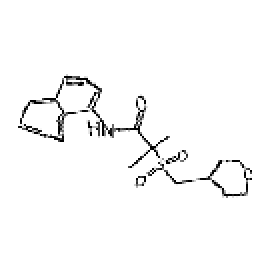 CC(C)(C(=O)Nc1cccc2ccccc12)S(=O)(=O)CC1CCOCC1